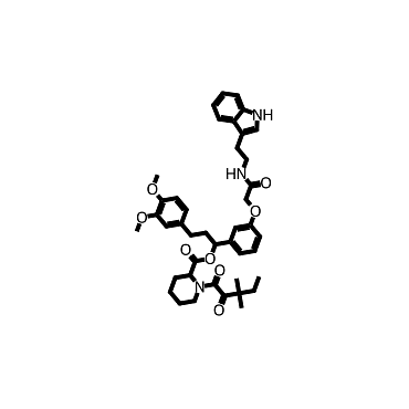 CCC(C)(C)C(=O)C(=O)N1CCCCC1C(=O)OC(CCc1ccc(OC)c(OC)c1)c1cccc(OCC(=O)NCCc2c[nH]c3ccccc23)c1